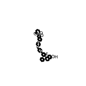 O=C1c2ccc(N3CCN(CC4CCN(c5ccc([C@@H]6c7ccc(O)cc7CC[C@@H]6c6ccccc6)c(F)c5)CC4)CC3)cc2CN1N1C(=O)CCCC1=O